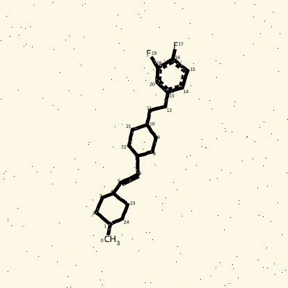 CC1CCC(/C=C/C2CCC(CCc3ccc(F)c(F)c3)CC2)CC1